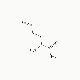 NC(=O)C(N)CCC=O